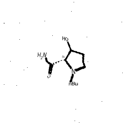 CCCCN1CCC(O)[C@H]1C(N)=O